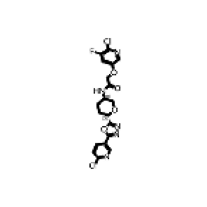 O=C(COc1cnc(Cl)c(F)c1)N[C@@H]1CC[C@@H](c2nnc(-c3ccc(Cl)nc3)o2)OC1